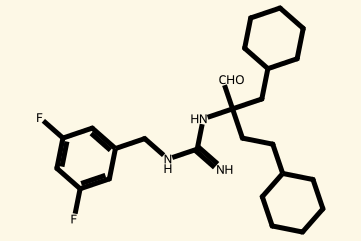 N=C(NCc1cc(F)cc(F)c1)NC(C=O)(CCC1CCCCC1)CC1CCCCC1